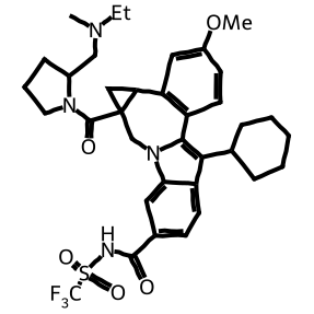 CCN(C)CC1CCCN1C(=O)C12CC1c1cc(OC)ccc1-c1c(C3CCCCC3)c3ccc(C(=O)NS(=O)(=O)C(F)(F)F)cc3n1C2